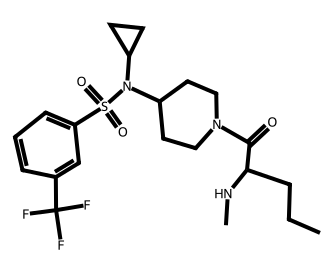 CCCC(NC)C(=O)N1CCC(N(C2CC2)S(=O)(=O)c2cccc(C(F)(F)F)c2)CC1